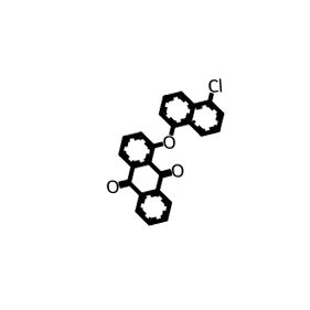 O=C1c2ccccc2C(=O)c2c(Oc3cccc4c(Cl)cccc34)cccc21